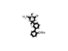 COc1ccccc1-c1cccc(C2(C)CC(=O)N(C)C(N)=N2)c1